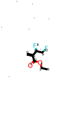 C=C(C(=O)OCC)C(F)CF